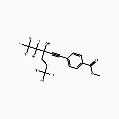 [2H]C([2H])([2H])OCC(O)(C#Cc1ccc(C(=O)OC)cc1)C([2H])([2H])C([2H])([2H])[2H]